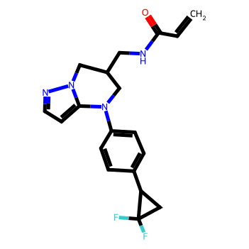 C=CC(=O)NCC1CN(c2ccc(C3CC3(F)F)cc2)c2ccnn2C1